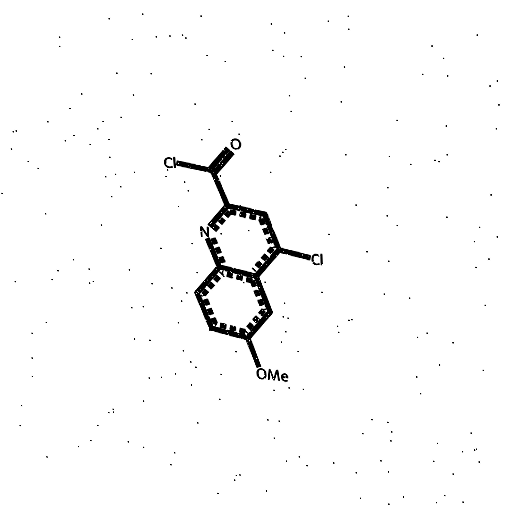 COc1ccc2nc(C(=O)Cl)cc(Cl)c2c1